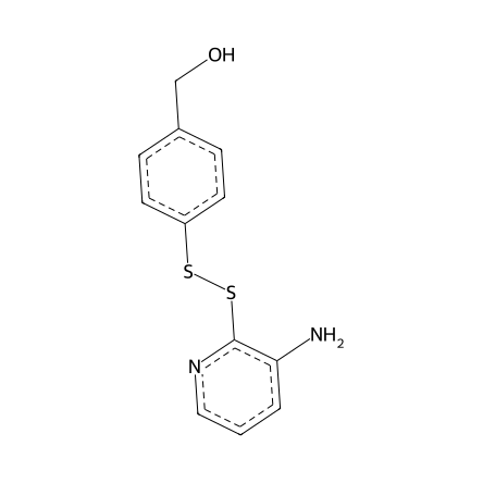 Nc1cccnc1SSc1ccc(CO)cc1